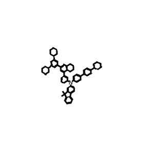 CC1(C)c2ccccc2-c2ccc(N(c3ccc(-c4ccc(C5CCCCC5)cc4)cc3)c3cccc(-c4cc(-c5cc(C6CCCCC6)cc(C6CCCCC6)c5)cc5c4CCCC5)c3)cc21